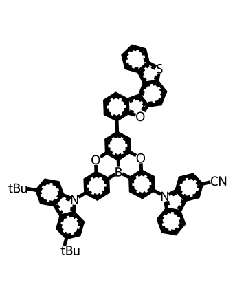 CC(C)(C)c1ccc2c(c1)c1cc(C(C)(C)C)ccc1n2-c1ccc2c(c1)Oc1cc(-c3cccc4c3oc3ccc5sc6ccccc6c5c34)cc3c1B2c1ccc(-n2c4ccccc4c4cc(C#N)ccc42)cc1O3